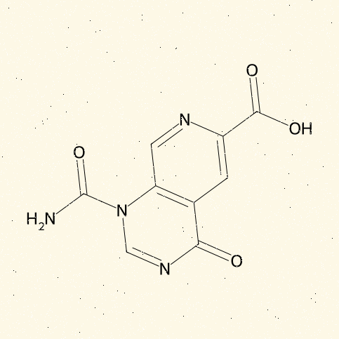 NC(=O)n1cnc(=O)c2cc(C(=O)O)ncc21